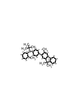 Cc1cc2c(cc1-c1ccc(N(c3ccccc3C)C(C)(C)C)cc1)C(C)(C)c1ccccc1-2